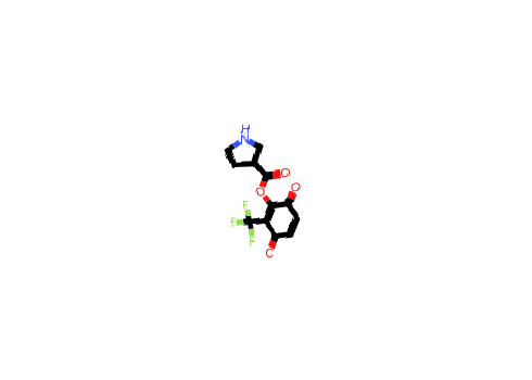 O=C1C=CC(=O)C(C(F)(F)F)=C1OC(=O)C1CCNC1